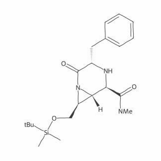 CNC(=O)[C@@H]1N[C@@H](Cc2ccccc2)C(=O)N2[C@H]1[C@H]2CO[Si](C)(C)C(C)(C)C